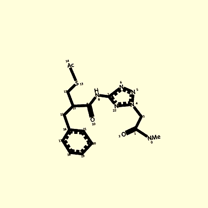 CNC(=O)Cn1nnc(NC(=O)C(CSC(C)=O)Cc2ccccc2)n1